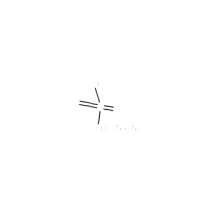 O=S(=O)(O)O.[Co].[NaH].[Ni]